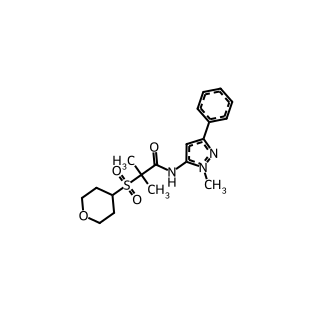 Cn1nc(-c2ccccc2)cc1NC(=O)C(C)(C)S(=O)(=O)C1CCOCC1